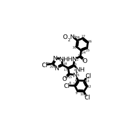 O=C(Nc1[nH]n(-c2c(Cl)cc(Cl)cc2Cl)c(=O)c1-c1nc(Cl)n[nH]1)c1cccc([N+](=O)[O-])c1